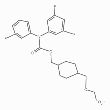 O=C(O)COCC1CCC(COC(=O)N(c2cccc(F)c2)c2cc(F)cc(F)c2)CC1